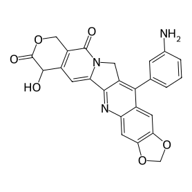 Nc1cccc(-c2c3c(nc4cc5c(cc24)OCO5)-c2cc4c(c(=O)n2C3)COC(=O)C4O)c1